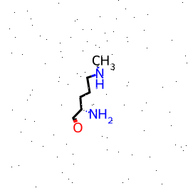 CNCCC[C@H](N)C=O